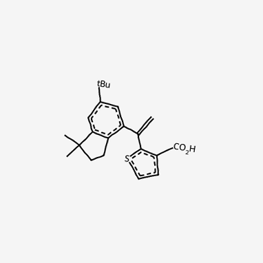 C=C(c1cc(C(C)(C)C)cc2c1CCC2(C)C)c1sccc1C(=O)O